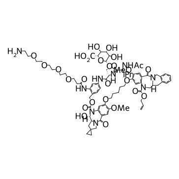 C=CCOC(=O)N1C[C@@H]2Cc3ccccc3CN2C(=O)c2cc(OC)c(OCCCCCOc3cc4c(cc3OC)C(=O)N3CC5(CC5)C[C@H]3[C@H](O)N4C(=O)OCc3ccc(NC(=O)[C@H](CO[C@@H]4O[C@H](C(=O)O)[C@@H](O)[C@H](O)[C@H]4O)NC(=O)[C@@H](NC(C)=O)C(C)C)cc3NC(=O)CCOCCOCCOCCOCCN)cc21